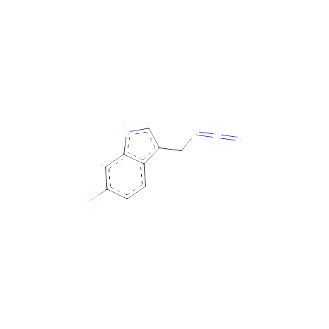 [N-]=[N+]=NCc1c[nH]c2cc(Cl)ccc12